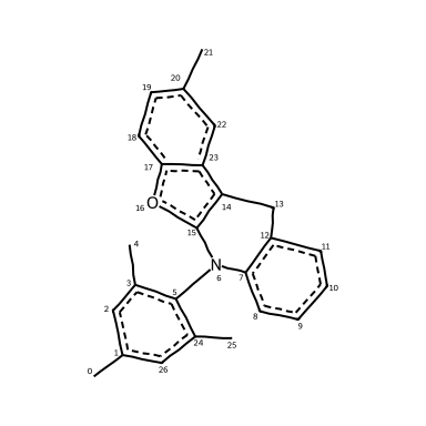 Cc1cc(C)c(N2c3ccccc3Cc3c2oc2ccc(C)cc32)c(C)c1